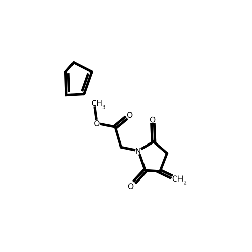 C1=CCC=C1.C=C1CC(=O)N(CC(=O)OC)C1=O